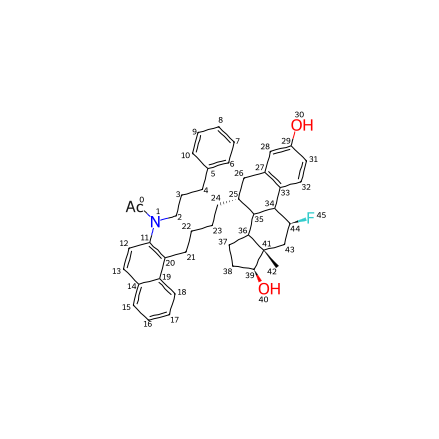 CC(=O)N(CCCc1ccccc1)c1ccc2ccccc2c1CCCC[C@@H]1Cc2cc(O)ccc2C2C1C1CC[C@H](O)[C@@]1(C)C[C@@H]2F